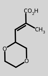 CC(=CC1COCCO1)C(=O)O